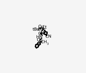 CCN(CCN(C(=O)CNCC(=O)N(C)N1Cc2ccccc2C1)c1cc(C#N)ccc1F)C(=O)OC(C)(C)C